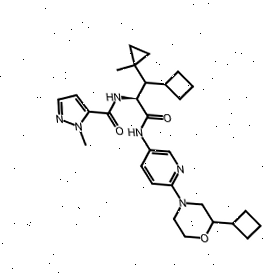 Cn1nccc1C(=O)N[C@H](C(=O)Nc1ccc(N2CCOC(C3CCC3)C2)nc1)C(C1CCC1)C1(C)CC1